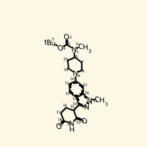 CN(C(=O)OC(C)(C)C)C1CCN(c2ccc3c(C4CCC(=O)NC4=O)nn(C)c3c2)CC1